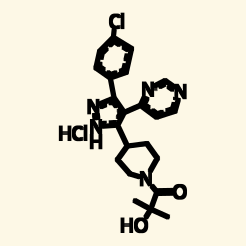 CC(C)(O)C(=O)N1CCC(c2[nH]nc(-c3ccc(Cl)cc3)c2-c2ccncn2)CC1.Cl